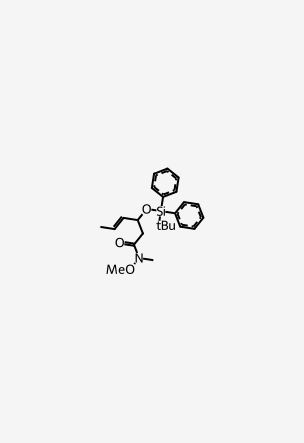 CC=CC(CC(=O)N(C)OC)O[Si](c1ccccc1)(c1ccccc1)C(C)(C)C